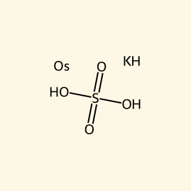 O=S(=O)(O)O.[KH].[Os]